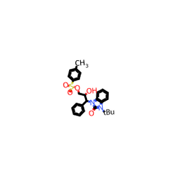 Cc1ccc(S(=O)(=O)OCC(O)C(c2ccccc2)n2c(=O)n(C(C)(C)C)c3ccccc32)cc1